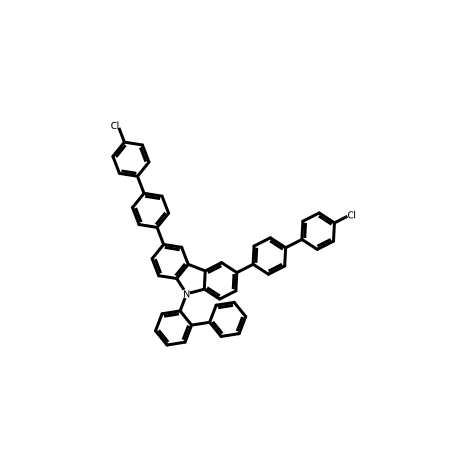 Clc1ccc(-c2ccc(-c3ccc4c(c3)c3cc(-c5ccc(-c6ccc(Cl)cc6)cc5)ccc3n4-c3ccccc3-c3ccccc3)cc2)cc1